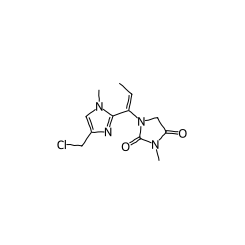 C/C=C(\c1nc(CCl)cn1C)N1CC(=O)N(C)C1=O